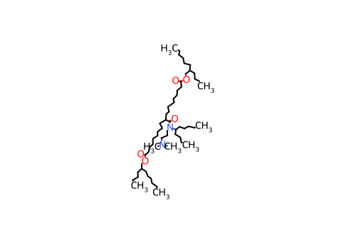 CCCCCCC(CCCC)COC(=O)CCCCCCCCC(CCCCCCCCC(=O)OCC(CCCC)CCCCCC)C(=O)N(CCCN(C)C)C(CCCC)CCCCC